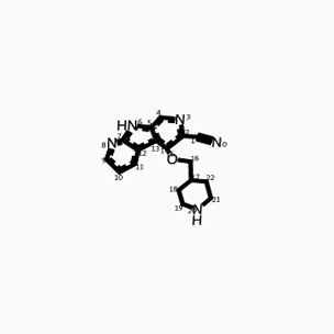 N#Cc1ncc2[nH]c3ncccc3c2c1OCC1CCNCC1